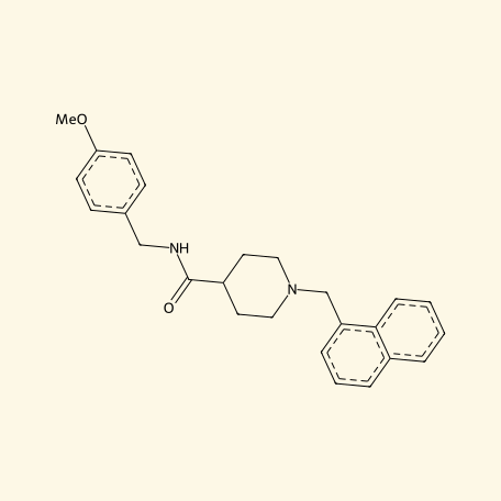 COc1ccc(CNC(=O)C2CCN(Cc3cccc4ccccc34)CC2)cc1